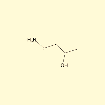 CC(O)C[CH]N